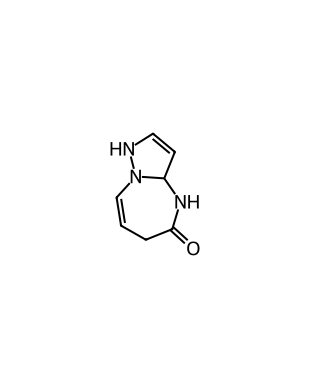 O=C1CC=CN2NC=CC2N1